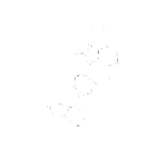 CCOC(=O)Cn1c(=O)n(-c2cnc(-c3cccn4cncc34)cn2)c2c(C)cccc21